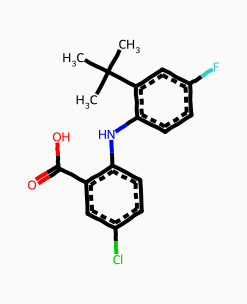 CC(C)(C)c1cc(F)ccc1Nc1ccc(Cl)cc1C(=O)O